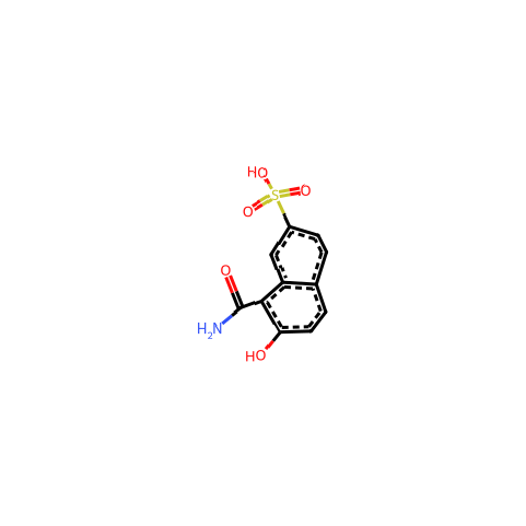 NC(=O)c1c(O)ccc2ccc(S(=O)(=O)O)cc12